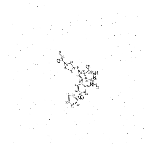 C=CC(=O)N1CCC(Cn2cc(-c3ccc(Oc4ccccc4)cc3)c3c(N)n[nH]c(=O)c32)C1